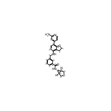 Nc1nccc(-c2cnc(NCc3cccc(C(=O)N[C@@H]4[C@@H]5COC[C@@H]54)c3)c3c2OCC3)n1